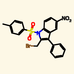 Cc1ccc(S(=O)(=O)n2c(CBr)c(-c3ccccc3)c3cc([N+](=O)[O-])ccc32)cc1